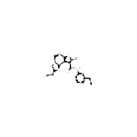 CCc1cccc(NC(=O)c2c(C)oc3c2C2=NC(CC)CN2C=N3)c1